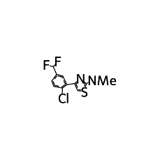 CNc1nc(-c2cc(C(F)F)ccc2Cl)cs1